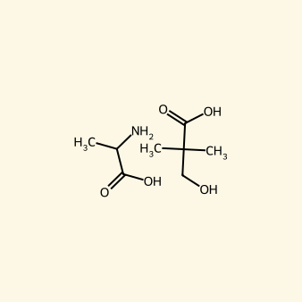 CC(C)(CO)C(=O)O.CC(N)C(=O)O